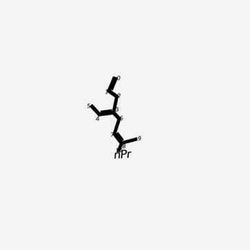 C=CCC(=CC)CC=C(C)CCC